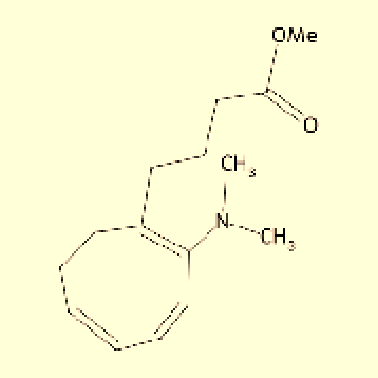 COC(=O)CCC/C1=C(N(C)C)/C=C\C=C/CC1